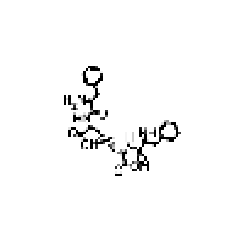 N[C@@H](Cc1ccccc1)C(=O)N[C@@H](CSSC[C@H](NC(=O)[C@@H](N)Cc1ccccc1)C(=O)O)C(=O)O